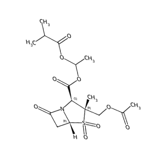 CC(=O)OC[C@@]1(C)[C@H](C(=O)OC(C)OC(=O)C(C)C)N2C(=O)C[C@H]2S1(=O)=O